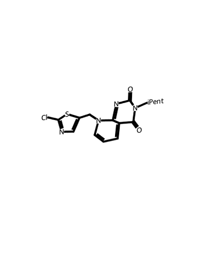 CCCC(C)n1c(=O)nc2n(Cc3cnc(Cl)s3)cccc-2c1=O